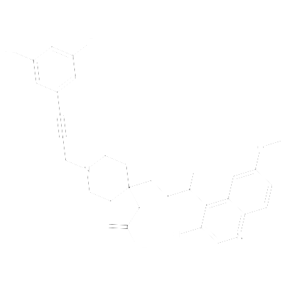 COc1ccc2ncc(Cl)c(C(F)CCC3(CC(=O)O)CCN(CC#Cc4cc(F)cc(Cl)c4)CC3)c2c1